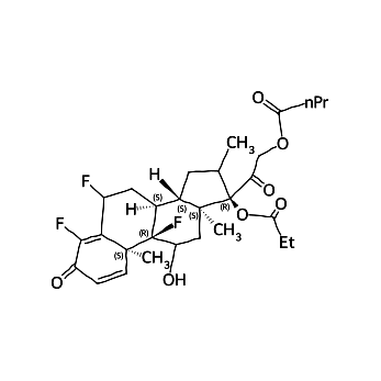 CCCC(=O)OCC(=O)[C@@]1(OC(=O)CC)C(C)C[C@H]2[C@@H]3CC(F)C4=C(F)C(=O)C=C[C@]4(C)[C@@]3(F)C(O)C[C@@]21C